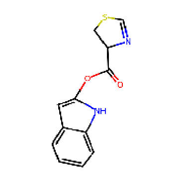 O=C(Oc1cc2ccccc2[nH]1)C1CSC=N1